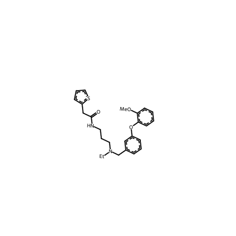 CCN(CCCNC(=O)Cc1cccs1)Cc1cccc(Oc2ccccc2OC)c1